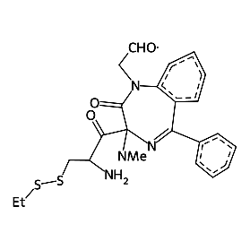 CCSSCC(N)C(=O)C1(NC)N=C(c2ccccc2)c2ccccc2N(C[C]=O)C1=O